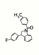 Cc1ccc(C(=O)N2CC(c3ccc(F)cc3)c3ccccc32)cc1